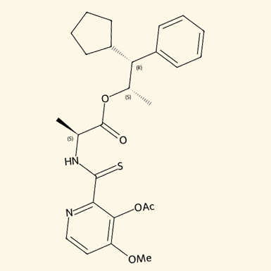 COc1ccnc(C(=S)N[C@@H](C)C(=O)O[C@@H](C)[C@@H](c2ccccc2)C2CCCC2)c1OC(C)=O